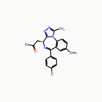 CCC(=O)C[C@@H]1N=C(c2ccc(Cl)cc2)c2cc(OC)ccc2-n2c(C)nnc21